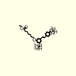 [2H]C([2H])([2H])Oc1ccc(/C=C/c2cc(OCCCCCCC(=O)OCC)cc(OC([2H])([2H])[2H])c2)cc1